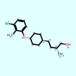 Cc1c(Br)cccc1O[C@H]1CC[C@H](CC[C@@H](C)CO)CC1